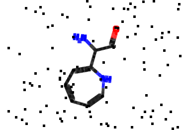 NC([C]=O)C1=CC=CC=CN1